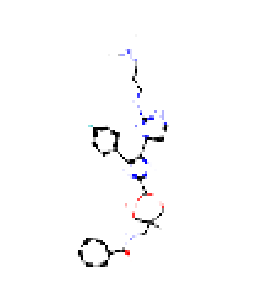 CN(C)CCCNc1nccc(-c2[nH]c(C3OCC(C)(CNC(=O)c4ccccc4)CO3)nc2-c2ccc(F)cc2)n1